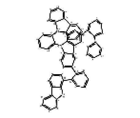 c1ccc(-c2ccccc2-c2ccc3c(c2)c2cc(-c4ccccc4-c4cccc5c4oc4ccccc45)ccc2n3-c2ccccc2-n2c3ccccc3c3ccccc32)cc1